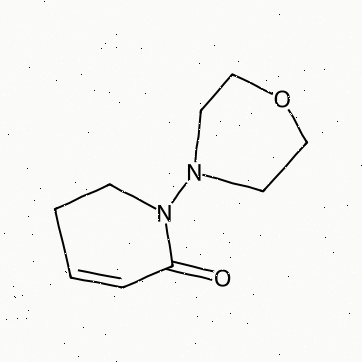 O=C1C=CCCN1N1CCOCC1